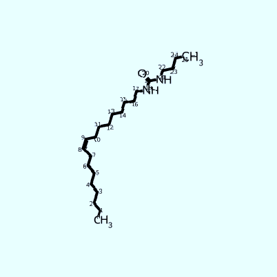 CCCCCCCC/C=C\CCCCCCCCNC(=O)NCCCC